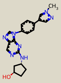 Cn1cc(-c2ccc(-n3cnc4cnc(N[C@@H]5CC[C@@H](O)C5)nc43)cc2)cn1